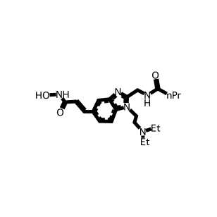 CCCC(=O)NCc1nc2cc(C=CC(=O)NO)ccc2n1CCN(CC)CC